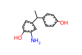 CC(c1ccc(O)cc1)c1ccc(O)c(N)c1